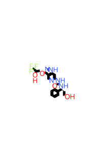 O=C(Nc1cc2[nH]nc(OC[C@H](O)C(F)(F)F)c2cn1)N[C@H](CCO)c1ccccc1